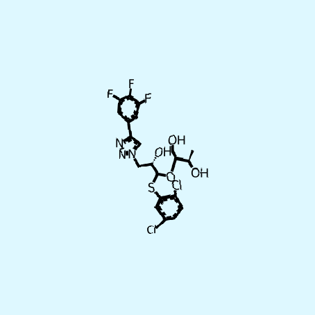 C[C@@H](O)C(CO)OC(Sc1cc(Cl)ccc1Cl)[C@@H](O)Cn1cc(-c2cc(F)c(F)c(F)c2)nn1